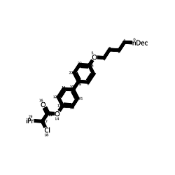 CCCCCCCCCCCCCCOc1ccc(-c2ccc(OC(=O)C(Cl)C(C)C)cc2)cc1